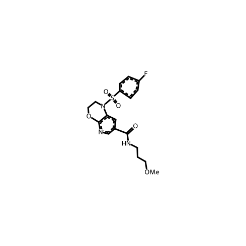 COCCCNC(=O)c1cnc2c(c1)N(S(=O)(=O)c1ccc(F)cc1)CCO2